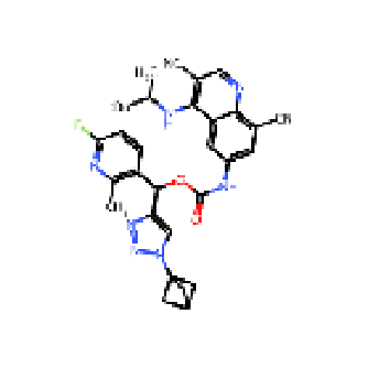 Cc1nc(F)ccc1C(OC(=O)Nc1cc(C#N)c2ncc(C#N)c(NC(C)C(C)(C)C)c2c1)c1cn(C23CC(C2)C3)nn1